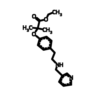 CCOC(=O)C(C)(C)Oc1ccc(CCNCc2cccnc2)cc1